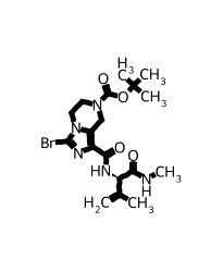 C=C(C)[C@H](NC(=O)c1nc(Br)n2c1CN(C(=O)OC(C)(C)C)CC2)C(=O)NC